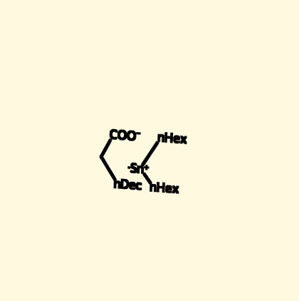 CCCCCCCCCCCC(=O)[O-].CCCCC[CH2][Sn+][CH2]CCCCC